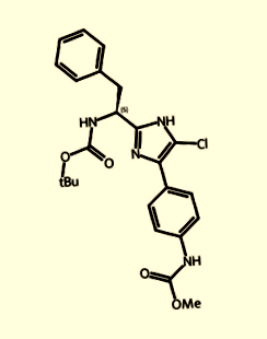 COC(=O)Nc1ccc(-c2nc([C@H](Cc3ccccc3)NC(=O)OC(C)(C)C)[nH]c2Cl)cc1